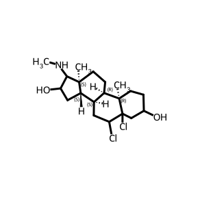 CNC1C(O)C[C@H]2[C@@H]3CC(Cl)C4(Cl)CC(O)CC[C@]4(C)[C@@H]3CC[C@]12C